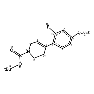 CCOC(=O)c1ccc(C2=CCN(C(=O)OC(C)(C)C)CC2)c(F)c1